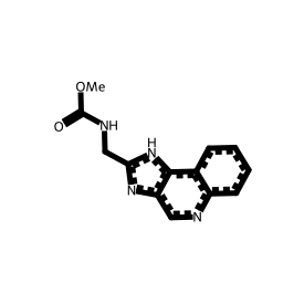 COC(=O)NCc1nc2cnc3ccccc3c2[nH]1